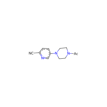 CC(=O)N1CCN(c2ccc(C#N)nc2)CC1